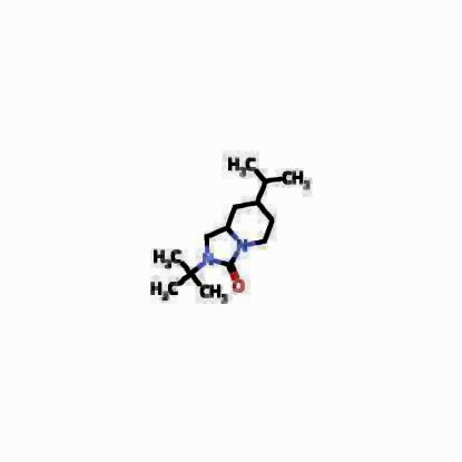 CC(C)C1CCN2C(=O)N(C(C)(C)C)CC2C1